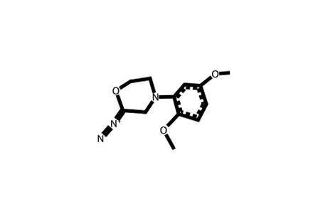 COc1ccc(OC)c(N2CCOC(=[N+]=[N-])C2)c1